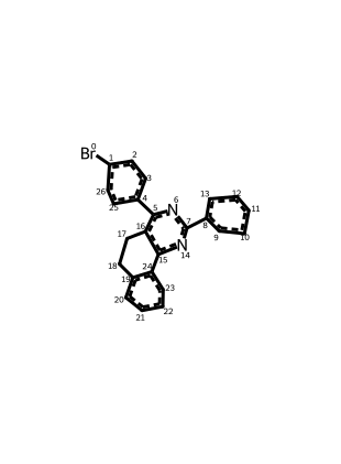 Brc1ccc(-c2nc(-c3ccccc3)nc3c2CCc2ccccc2-3)cc1